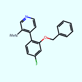 CNc1cnccc1-c1ccc(F)cc1OCc1ccccc1